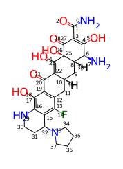 NC(=O)C1=C(O)[C@@H](N)[C@@H]2C[C@@H]3Cc4c(F)c5c(c(O)c4C(=O)C3=C(O)[C@]2(O)C1=O)NCCC5N1CCCC1